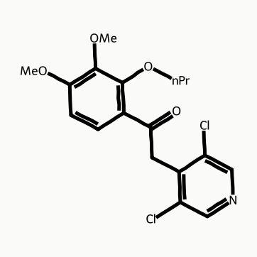 CCCOc1c(C(=O)Cc2c(Cl)cncc2Cl)ccc(OC)c1OC